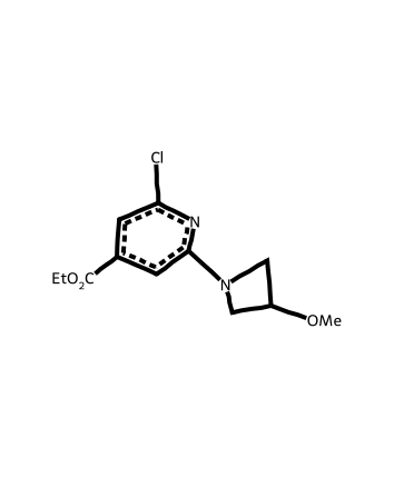 CCOC(=O)c1cc(Cl)nc(N2CC(OC)C2)c1